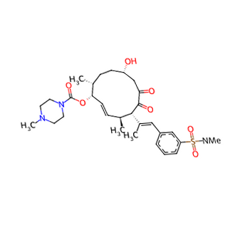 CNS(=O)(=O)c1cccc(/C=C(\C)[C@H]2C(=O)C(=O)C[C@@H](O)CC[C@@H](C)[C@@H](OC(=O)N3CCN(C)CC3)/C=C/[C@@H]2C)c1